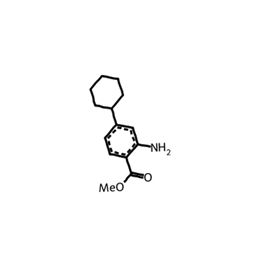 COC(=O)c1ccc(C2CCCCC2)cc1N